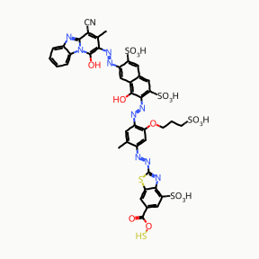 Cc1cc(N=Nc2c(S(=O)(=O)O)cc3cc(S(=O)(=O)O)c(N=Nc4c(C)c(C#N)c5nc6ccccc6n5c4O)cc3c2O)c(OCCCS(=O)(=O)O)cc1N=Nc1nc2c(S(=O)(=O)O)cc(C(=O)OS)cc2s1